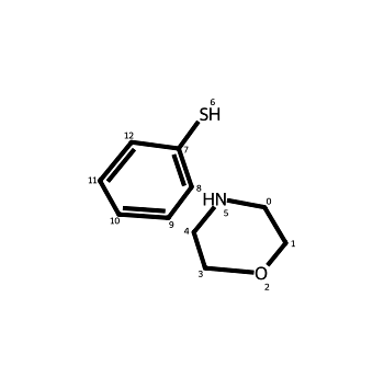 C1COCCN1.Sc1ccccc1